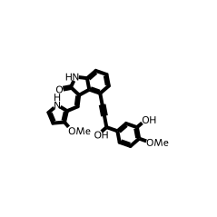 COc1ccc(C(O)C#Cc2cccc3c2C(=Cc2[nH]ccc2OC)C(=O)N3)cc1O